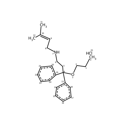 CCCOC(CCNCC=C(C)C)(c1ccccc1)c1ccccc1.Cl